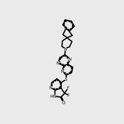 O=C1Nc2nccc(Sc3ccc4nc(N5CCC6(CC5)Cc5ccccc5C6)cnc4n3)c2C1(F)F